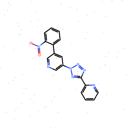 O=[N+]([O-])c1ccccc1-c1cncc(-n2nnc(-c3ccccn3)n2)c1